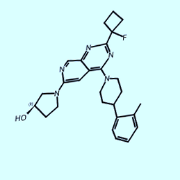 Cc1ccccc1C1CCN(c2nc(C3(F)CCC3)nc3cnc(N4CC[C@@H](O)C4)cc23)CC1